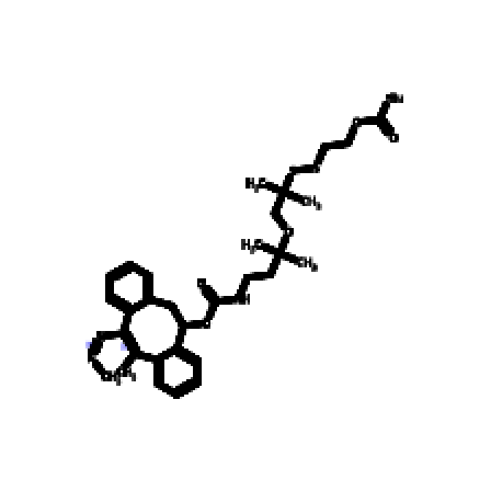 C/N=N\C1=C(/C)c2ccccc2C(OC(=O)NCCC(C)(C)OCC(C)(C)SSCCOC(=O)C(C)(C)C)Cc2ccccc21